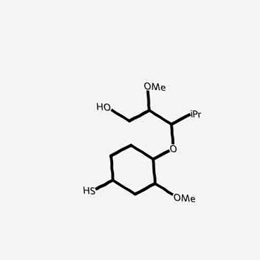 COC1CC(S)CCC1OC(C(C)C)C(CO)OC